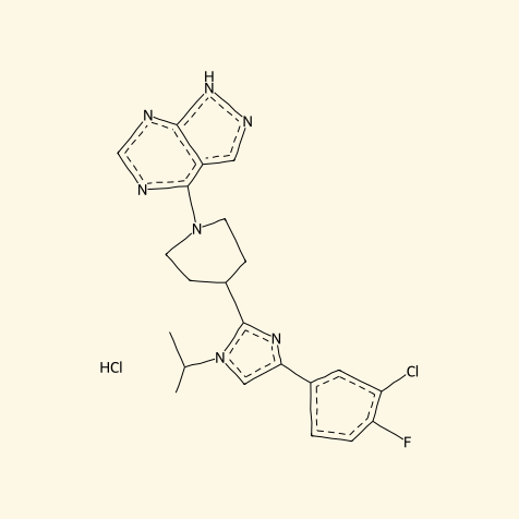 CC(C)n1cc(-c2ccc(F)c(Cl)c2)nc1C1CCN(c2ncnc3[nH]ncc23)CC1.Cl